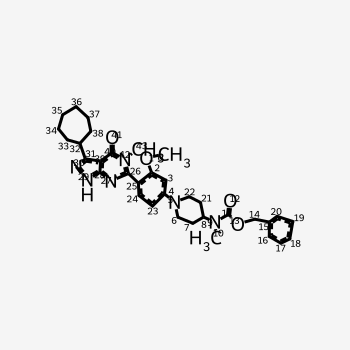 COc1cc(N2CCC(N(C)C(=O)OCc3ccccc3)CC2)ccc1-c1nc2[nH]nc(C3CCCCCC3)c2c(=O)n1C